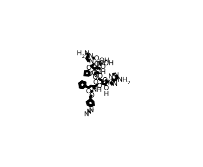 [N-]=[N+]=Nc1ccc(COC(=O)NC(CCc2ccccc2)C(=O)O[C@@H]2C(COP(=O)(O)O[C@@H]3C(COP(=O)(O)O)OC(n4ccc(N)nc4=O)[C@@H]3OC3CCCO3)O[C@@H](n3cnc4c(N)ncnc43)[C@@H]2O)cc1